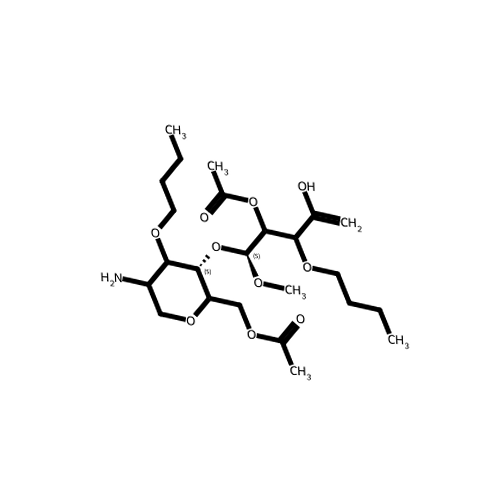 C=C(O)C(OCCCC)C(OC(C)=O)[C@@H](OC)O[C@@H]1C(COC(C)=O)OCC(N)C1OCCCC